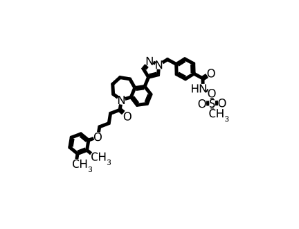 Cc1cccc(OCCCC(=O)N2CCCCc3c(-c4cnn(Cc5ccc(C(=O)NOS(C)(=O)=O)cc5)c4)cccc32)c1C